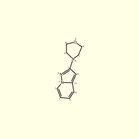 c1ccn2nc(N3CCOCC3)cc2c1